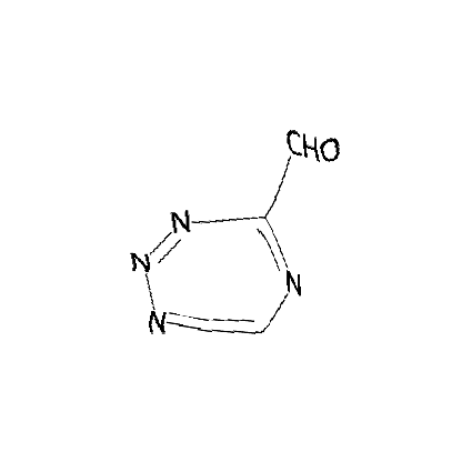 O=Cc1ncnnn1